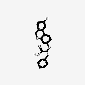 NC(=O)[C@@H](Cc1ccccc1)Oc1ccc2c(c1)OCc1ccc(Br)cc1-2